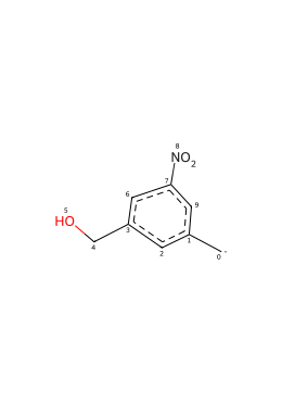 [CH2]c1cc(CO)cc([N+](=O)[O-])c1